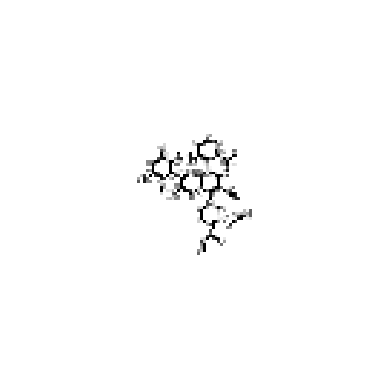 C=CC(=O)N1CCN(c2c(C#N)c(=O)n(-c3c(C)ccnc3C(C)C)c3nc(-c4c(N)c(Cl)cc(Cl)c4F)c(Cl)cc23)C[C@@H]1CC#N